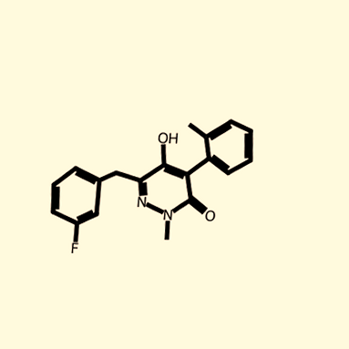 Cc1ccccc1-c1c(O)c(Cc2cccc(F)c2)nn(C)c1=O